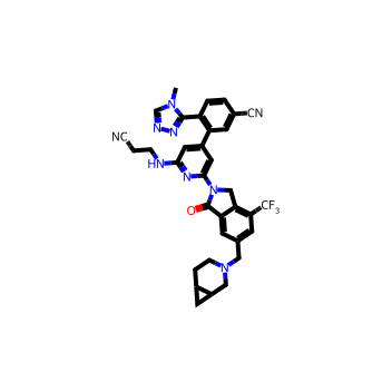 Cn1cnnc1-c1ccc(C#N)cc1-c1cc(NCCC#N)nc(N2Cc3c(cc(CN4CCC5CC5C4)cc3C(F)(F)F)C2=O)c1